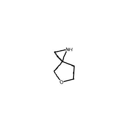 C1CC2(CN2)CO1